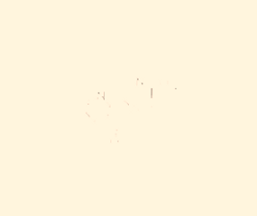 CC(C)(C)OC(=O)N1CCC[C@H]1C(=O)c1ncccc1C=O